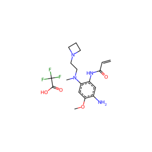 C=CC(=O)Nc1cc(N)c(OC)cc1N(C)CCN1CCC1.O=C(O)C(F)(F)F